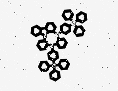 c1ccc([Si](c2ccccc2)(c2ccccc2)c2ccc(N3c4ccccc4N(c4ccc([Si](c5ccccc5)(c5ccccc5)c5ccccc5)cc4)c4cccc5c6ccccc6n(c45)-c4ccccc43)cc2)cc1